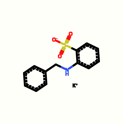 O=S(=O)([O-])c1ccccc1NCc1ccccc1.[K+]